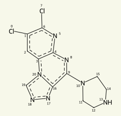 Clc1cc2c(nc1Cl)nc(N1CCNCC1)c1nncn12